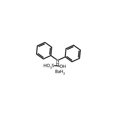 O=S(=O)(O)O.[BaH2].c1ccc(Nc2ccccc2)cc1